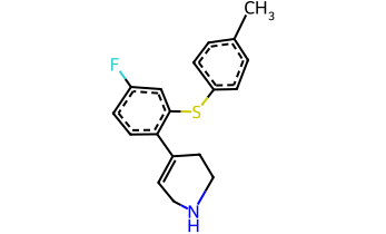 Cc1ccc(Sc2cc(F)ccc2C2=CCNCC2)cc1